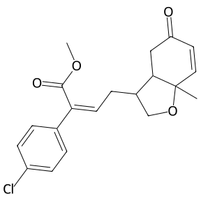 COC(=O)/C(=C\CC1COC2(C)C=CC(=O)CC12)c1ccc(Cl)cc1